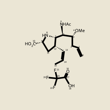 C=CC[C@@H](OC)[C@H](NC(C)=O)[C@H]1N[C@@H](C(=O)O)C[C@H]1/C=C\C.O=C(O)C(F)(F)F